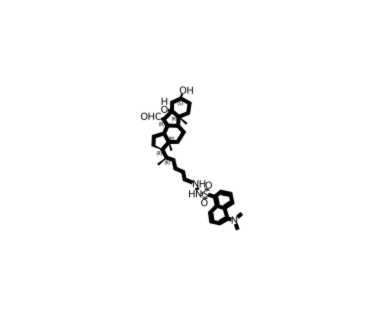 C[C@H](CCCCNNS(=O)(=O)c1cccc2c(N(C)C)cccc12)[C@H]1CCC2C3C(CC[C@@]21C)[C@@]1(C)CC[C@H](O)C[C@@]1(O)[C@@H]3C=O